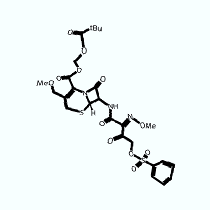 COCC1=C(C(=O)OCOC(=O)C(C)(C)C)N2C(=O)C(NC(=O)C(=NOC)C(=O)COS(=O)(=O)c3ccccc3)[C@@H]2SC1